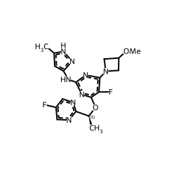 COC1CN(c2nc(Nc3cc(C)[nH]n3)nc(O[C@@H](C)c3ncc(F)cn3)c2F)C1